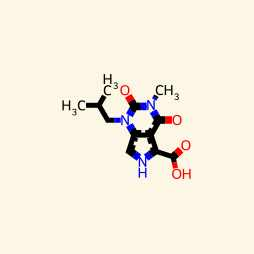 CC(C)Cn1c(=O)n(C)c(=O)c2c(C(=O)O)[nH]cc21